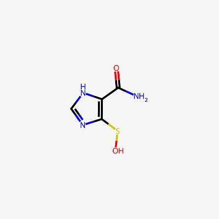 NC(=O)c1[nH]cnc1SO